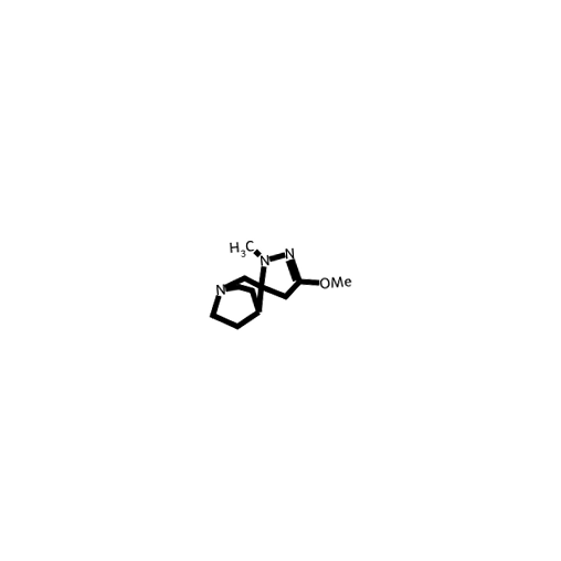 COC1=NN(C)C2(C1)CN1CCC2CC1